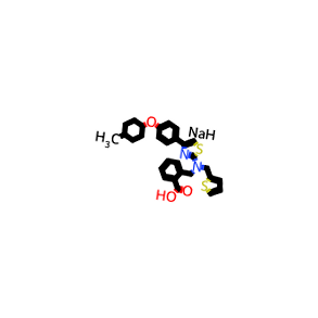 CC1CCC(Oc2ccc(-c3csc(N(Cc4cccs4)Cc4ccccc4C(=O)O)n3)cc2)CC1.[NaH]